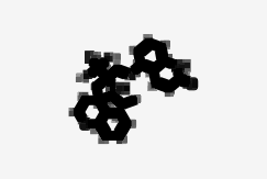 CCCC1(CC(O)(C=Nc2cccc3[nH]c(=O)ccc23)C(F)(F)F)CCOc2ccccc21